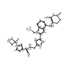 CN1CCC(Nc2cccc3c2cc(-c2noc(CNC(=O)c4ccn(C5(C)COC5)c4)n2)n3CC(F)(F)F)=C(F)C1